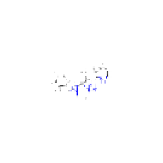 Cc1ccc(CN2CCn3nc(-c4ncccc4C)c(C)c3C2)cc1